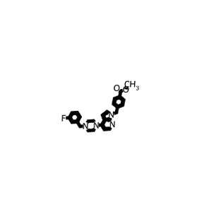 COC(=O)c1ccc(Cn2ccc3c(N4CCN(Cc5cccc(F)c5)CC4)ccnc32)cc1